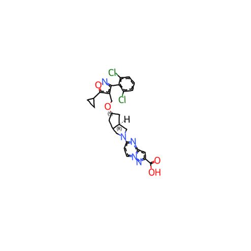 O=C(O)c1cc2nc(N3CC4C[C@H](OCc5c(-c6c(Cl)cccc6Cl)noc5C5CC5)C[C@H]4C3)ccn2n1